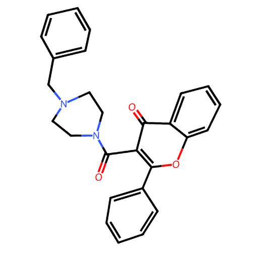 O=C(c1c(-c2ccccc2)oc2ccccc2c1=O)N1CCN(Cc2ccccc2)CC1